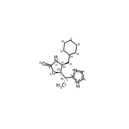 C[C@@H](c1ncc[nH]1)[C@H]1OC(=O)N[C@H]1CC1CCCCC1